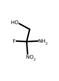 NC(F)(CO)[N+](=O)[O-]